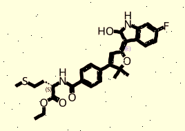 CCOC(=O)[C@H](CCSC)NC(=O)c1ccc(C2=C/C(=C3/c4ccc(F)cc4NC3O)OC2(C)C)cc1